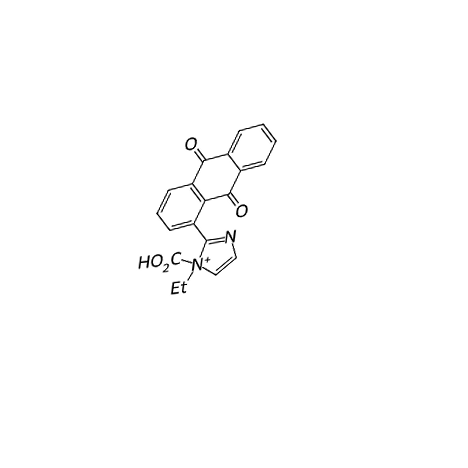 CC[N+]1(C(=O)O)C=CN=C1c1cccc2c1C(=O)c1ccccc1C2=O